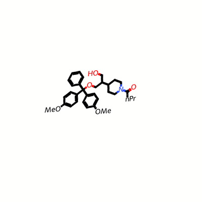 CCCC(=O)N1CCC(C(CO)COC(c2ccccc2)(c2ccc(OC)cc2)c2ccc(OC)cc2)CC1